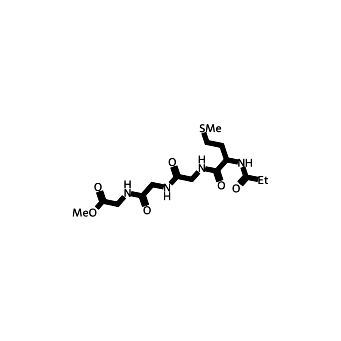 CCC(=O)NC(CCSC)C(=O)NCC(=O)NCC(=O)NCC(=O)OC